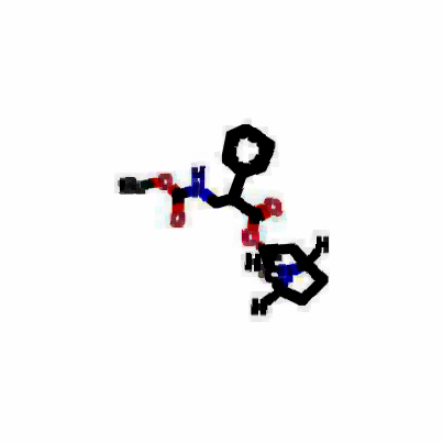 CN1[C@@H]2CC[C@H]1C[C@@H](OC(=O)C(CNC(=O)OC(C)(C)C)c1ccccc1)C2